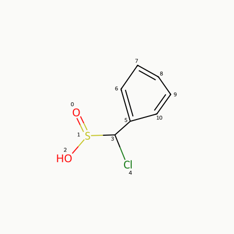 O=S(O)C(Cl)c1ccccc1